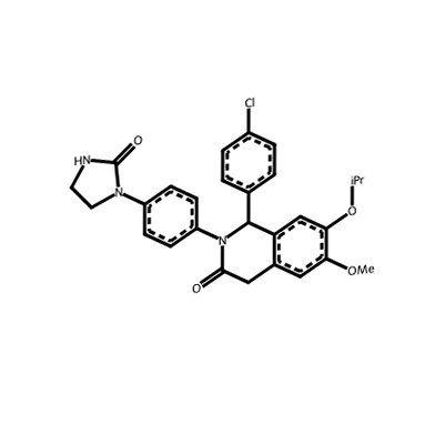 COc1cc2c(cc1OC(C)C)C(c1ccc(Cl)cc1)N(c1ccc(N3CCNC3=O)cc1)C(=O)C2